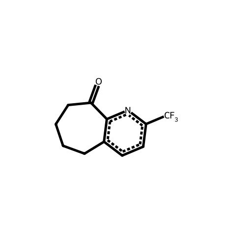 O=C1CCCCc2ccc(C(F)(F)F)nc21